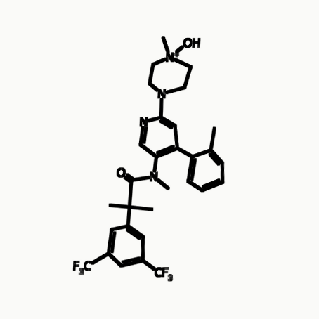 Cc1ccccc1-c1cc(N2CC[N+](C)(O)CC2)ncc1N(C)C(=O)C(C)(C)c1cc(C(F)(F)F)cc(C(F)(F)F)c1